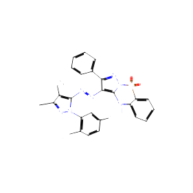 Cc1nn(-c2cc(S(=O)(=O)O)ccc2S(=O)(=O)O)c(/N=N/c2c(-c3ccccc3)nn3c2Nc2ccccc2S3(=O)=O)c1C#N